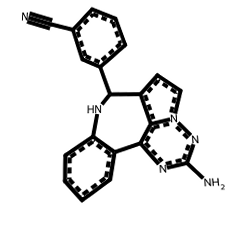 N#Cc1cccc(C2Nc3ccccc3-c3nc(N)nn4ccc2c34)c1